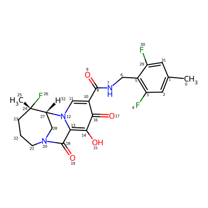 Cc1cc(F)c(CNC(=O)c2cn3c(c(O)c2=O)C(=O)N2CCC[C@](C)(F)[C@H]3C2)c(F)c1